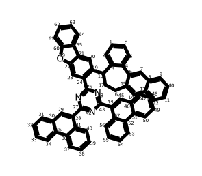 c1ccc2c(c1)-c1cc3ccccc3cc1CCC2c1cc2c(cc1-c1nc(-c3cc4ccccc4c4ccccc34)nc(-c3cc4ccccc4c4ccccc34)n1)oc1ccccc12